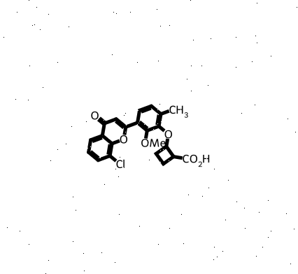 COc1c(-c2cc(=O)c3cccc(Cl)c3o2)ccc(C)c1OC1CCC1C(=O)O